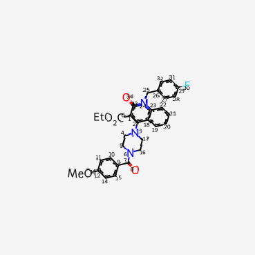 CCOC(=O)c1c(N2CCN(C(=O)c3ccc(OC)cc3)CC2)c2ccccc2n(Cc2ccc(F)cc2)c1=O